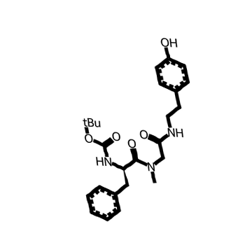 CN(CC(=O)NCCc1ccc(O)cc1)C(=O)[C@@H](Cc1ccccc1)NC(=O)OC(C)(C)C